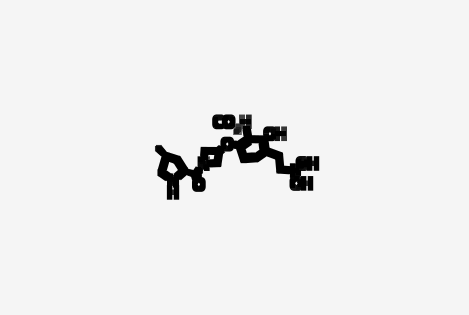 C[C@@H]1CN[C@H](C(=O)N2CC(Oc3ccc(CCB(O)O)c(O)c3C(=O)O)C2)C1